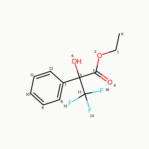 CCOC(=O)C(O)(c1ccccc1)C(F)(F)F